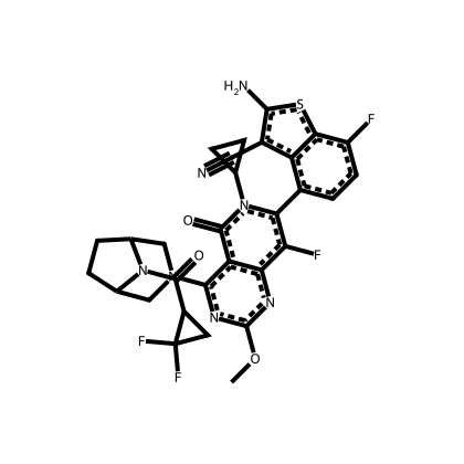 COc1nc(N2CC3CCC(C2)N3C(=O)C2CC2(F)F)c2c(=O)n(C3CC3)c(-c3ccc(F)c4sc(N)c(C#N)c34)c(F)c2n1